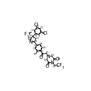 Cc1cc(C2=NOC(c3cc(Cl)cc(Cl)c3)(C(F)(F)F)C2)ccc1C(=O)CN1CC(=O)N(CC(F)(F)F)C(=O)C1